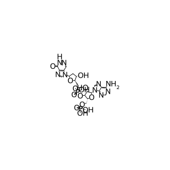 Nc1ncnc2c1ncn2[C@@H]1O[C@H](COP(=O)(O)O)C(OP(=O)(O)OC[C@H]2O[C@@H](n3cnc4c(=O)[nH]ncc43)C[C@@H]2O)[C@H]1O